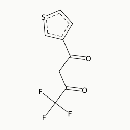 O=C(CC(=O)C(F)(F)F)c1ccsc1